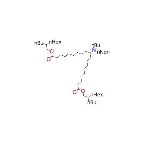 CCCCCCCCCN(C(CCCCCCCCC(=O)OCC(CCCC)CCCCCC)CCCCCCCCC(=O)OCC(CCCC)CCCCCC)C(C)(C)C